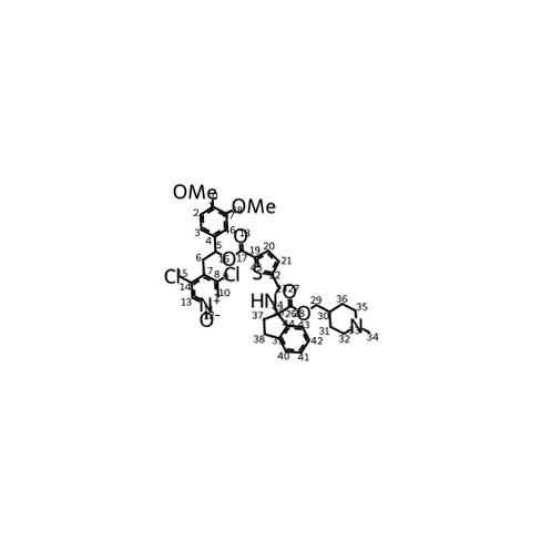 COc1ccc(C(Cc2c(Cl)c[n+]([O-])cc2Cl)OC(=O)c2ccc(CNC3(C(=O)OCC4CCN(C)CC4)CCc4ccccc43)s2)cc1OC